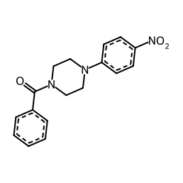 O=C(c1ccccc1)N1CCN(c2ccc([N+](=O)[O-])cc2)CC1